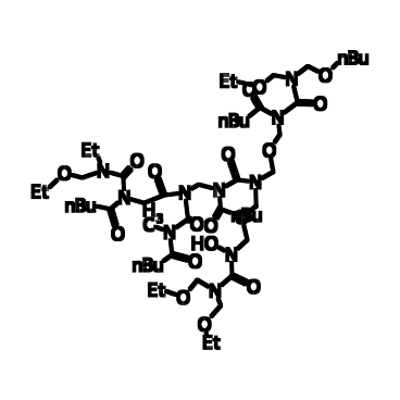 CCCCOCN(COCC)C(=O)N(COCN(COCN(O)C(=O)N(COCC)COCC)C(=O)N(CN(C(=O)CN(C(=O)CCCC)C(=O)N(CC)COCC)C(=O)N(C)C(=O)CCCC)C(=O)CCCC)C(=O)CCCC